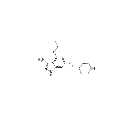 CCOc1cc(OCC2CCNCC2)cc2[nH]nc(N)c12